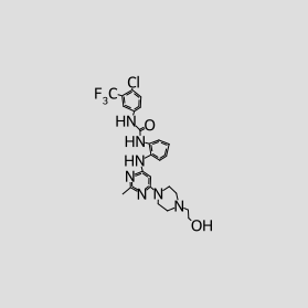 Cc1nc(Nc2ccccc2NC(=O)Nc2ccc(Cl)c(C(F)(F)F)c2)cc(N2CCN(CCO)CC2)n1